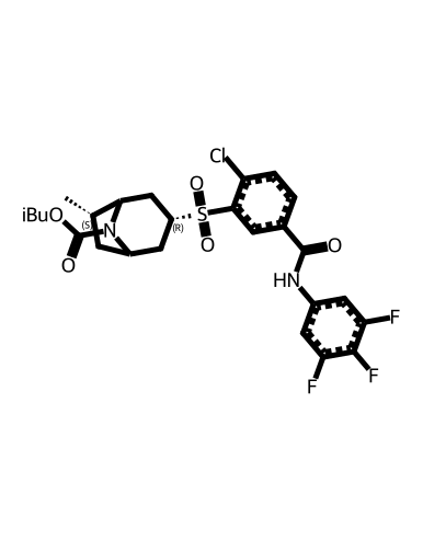 CC(C)COC(=O)N1C2C[C@@H](S(=O)(=O)c3cc(C(=O)Nc4cc(F)c(F)c(F)c4)ccc3Cl)CC1[C@@H](C)C2